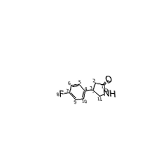 O=C1C[C](c2ccc(F)cc2)CN1